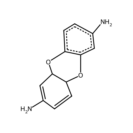 NC1=CC2Oc3ccc(N)cc3OC2C=C1